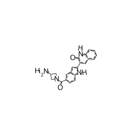 NC1CN(C(=O)c2ccc3[nH]c(-c4cc5ccccc5[nH]c4=O)cc3c2)C1